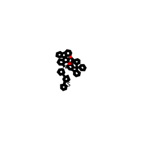 c1ccc(C2(c3ccccc3)c3ccccc3-c3cc(N(c4cccc(-c5ccc6sc7ccccc7c6c5)c4)c4cccc5c4-c4ccccc4C54c5ccccc5-c5ccccc54)ccc32)cc1